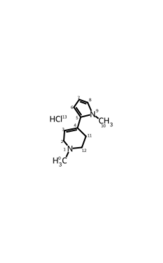 CN1CC=C(c2cccn2C)CC1.Cl